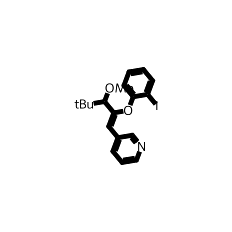 COC(C(=Cc1cccnc1)Oc1ccccc1I)C(C)(C)C